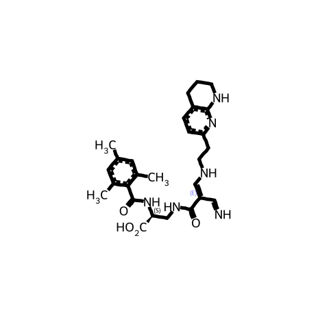 Cc1cc(C)c(C(=O)N[C@@H](CNC(=O)/C(C=N)=C/NCCc2ccc3c(n2)NCCC3)C(=O)O)c(C)c1